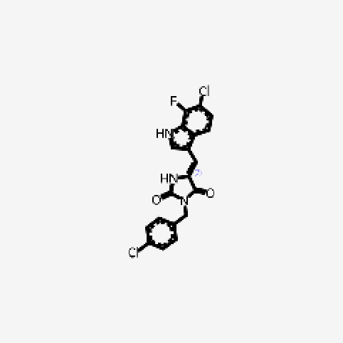 O=C1N/C(=C\c2c[nH]c3c(F)c(Cl)ccc23)C(=O)N1Cc1ccc(Cl)cc1